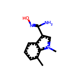 Cc1cccc2c(C(N)=NO)cn(C)c12